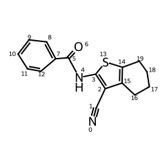 N#Cc1c(NC(=O)c2ccccc2)sc2c1CCCC2